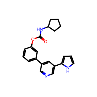 O=C(NC1CCCC1)Oc1cccc(-c2cncc(-c3ccc[nH]3)c2)c1